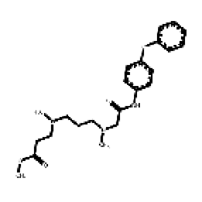 COC(=O)CCN(C)CCCN(C)CC(=O)Nc1ccc(Oc2ccccc2)cc1